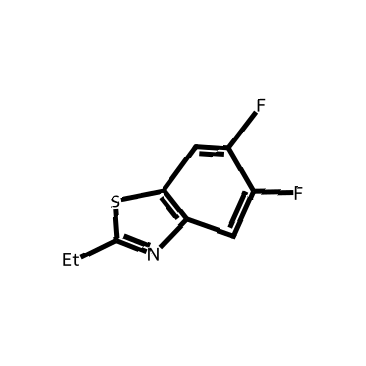 CCc1nc2cc(F)c(F)cc2s1